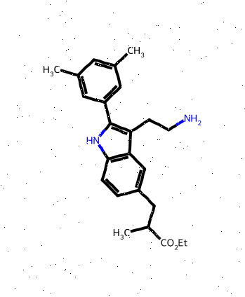 CCOC(=O)C(C)Cc1ccc2[nH]c(-c3cc(C)cc(C)c3)c(CCN)c2c1